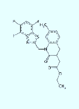 CCOC(=O)CC1Cc2ccc(C)cc2N(Cc2nc3c(F)c(F)cc(F)c3s2)C1=O